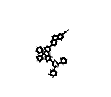 N#Cc1ccc2c(ccc3cc(-c4ccc5c(c4)-c4cc(-c6cc(-c7ccccc7)nc(-c7ccccc7)n6)ccc4C5(c4ccccc4)c4ccccc4)ccc32)c1